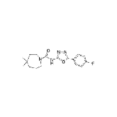 CC1(C)CCCN(C(=O)Nc2nnc(-c3ccc(F)cc3)o2)CC1